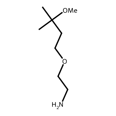 COC(C)(C)CCOCCN